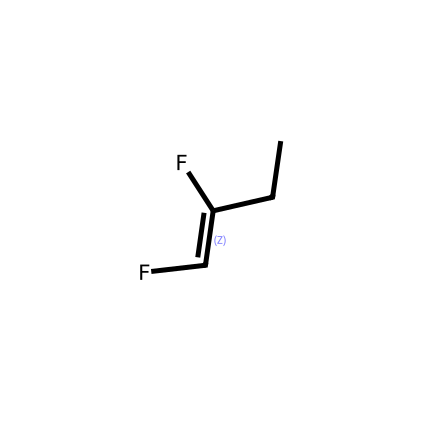 CC/C(F)=C/F